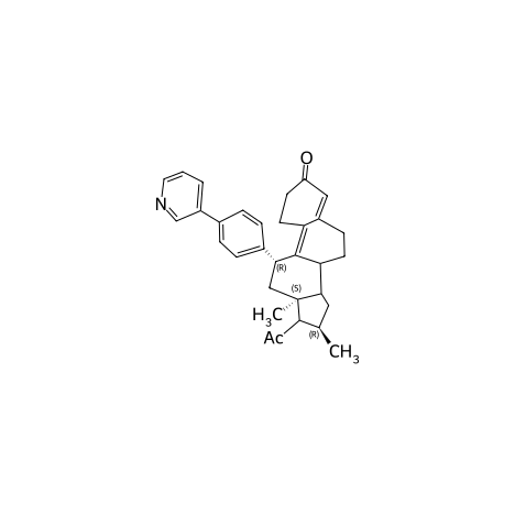 CC(=O)C1[C@H](C)CC2C3CCC4=CC(=O)CCC4=C3[C@@H](c3ccc(-c4cccnc4)cc3)C[C@@]21C